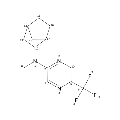 CN(c1cnc(C(F)(F)F)cn1)C1CC2CCC1C2